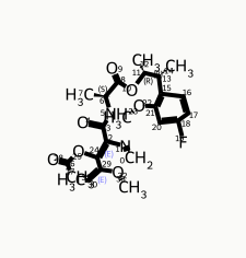 C=N/C(C(=O)N[C@@H](C)C(=O)O[C@H](C)[C@H](C)c1ccc(F)cc1OC)=C(OC(C)=O)\C(=C/C)OC